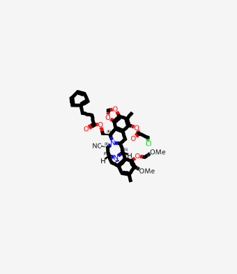 COCOc1c(OC)c(C)cc2c1[C@H]1C3Cc4c(OC(=O)CCl)c(C)c5c(c4[C@H](COC(=O)CCc4ccccc4)N3[C@@H](C#N)[C@@H](C2)N1C)OCO5